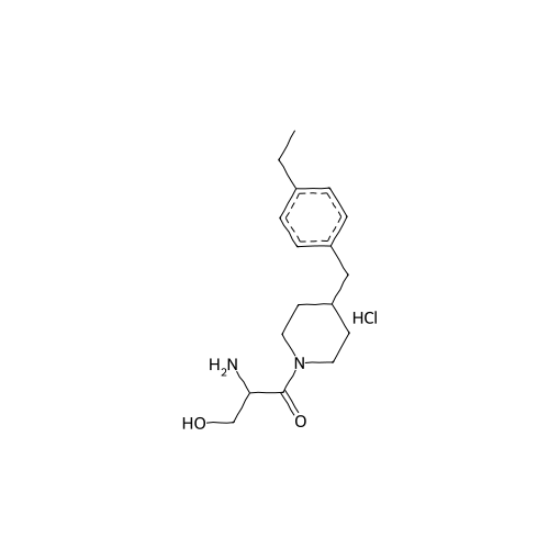 CCc1ccc(CC2CCN(C(=O)C(N)CO)CC2)cc1.Cl